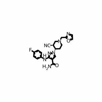 N#C[C@H]1CN(Cc2ncco2)CC[C@@H]1n1cc(C(N)=O)c(Nc2ccc(F)cc2)n1